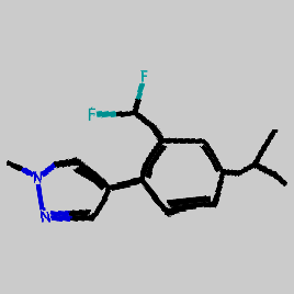 CC(C)c1ccc(-c2cnn(C)c2)c(C(F)F)c1